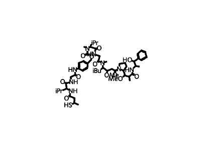 CCC(C)C(C(CC(=O)N1CCCC1C(OC)C(C)C(=O)NC(C)C(O)c1ccccc1)OC)N(C)C(=O)CNC(=O)C(C(C)C)N(C)C(=O)OCc1ccc(NC(=O)CNC(=O)C(NC(=O)CC(C)S)C(C)C)cc1